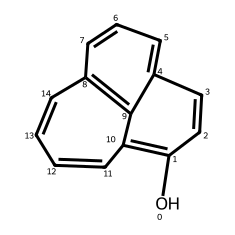 Oc1ccc2cccc3c2c1C=CC=C3